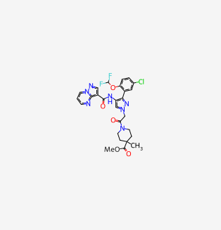 COC(=O)C1(C)CCN(C(=O)Cn2cc(NC(=O)c3cnn4cccnc34)c(-c3cc(Cl)ccc3OC(F)F)n2)CC1